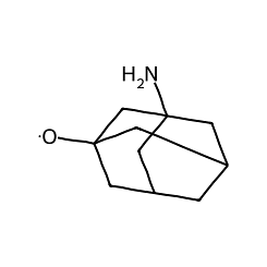 NC12CC3CC(C1)CC([O])(C3)C2